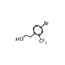 OCCc1ccc(Br)cc1C(F)(F)F